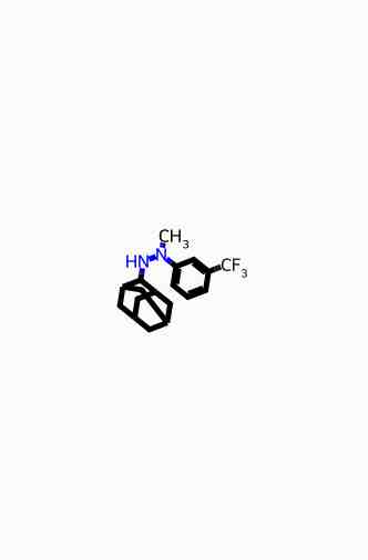 CN(NC1C2CC3CC(C2)CC1C3)c1cccc(C(F)(F)F)c1